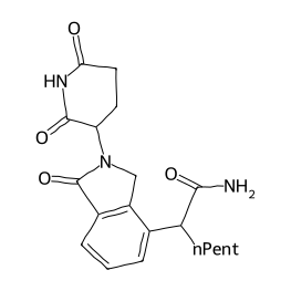 CCCCCC(C(N)=O)c1cccc2c1CN(C1CCC(=O)NC1=O)C2=O